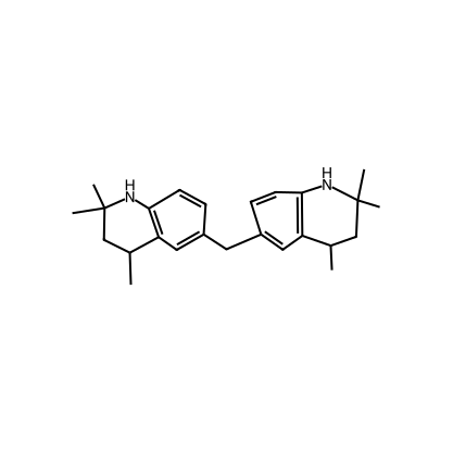 CC1CC(C)(C)Nc2ccc(Cc3ccc4c(c3)C(C)CC(C)(C)N4)cc21